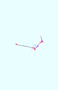 CCOCCNC(C=O)OCCOCCNC(=O)CC[C@H](NC(=O)CCCCCCCCCCCCCCCCCCC(=O)O)C(=O)O